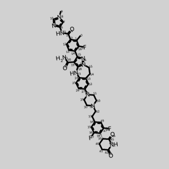 Cc1c(C(=O)Nc2cn(C)cn2)ccc(-c2nn3c(c2C(N)=O)Nc2ccc(N4CCN(CCc5cc(F)c([C@H]6CCC(=O)NC6=O)c(F)c5)CC4)cc2CC3)c1F